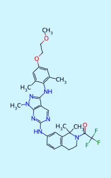 COCCOc1cc(C)c(Nc2nn(C)c3nc(Nc4ccc5c(c4)C(C)(C)N(C(=O)C(F)(F)F)CC5)ncc23)c(C)c1